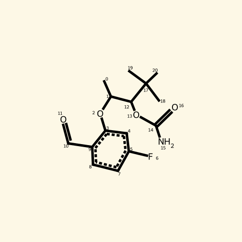 CC(Oc1cc(F)ccc1C=O)C(OC(N)=O)C(C)(C)C